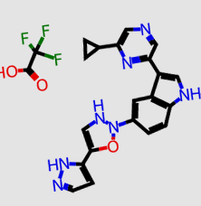 C1=C(c2ccn[nH]2)ON(c2ccc3[nH]cc(-c4cncc(C5CC5)n4)c3c2)N1.O=C(O)C(F)(F)F